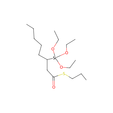 CCCCCC(CC(=O)SCCC)[Si](OCC)(OCC)OCC